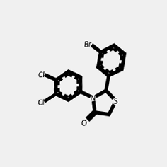 O=C1CSC(c2cccc(Br)c2)N1c1ccc(Cl)c(Cl)c1